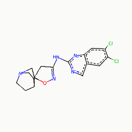 Clc1cc2cnc(NC3=NOC4(C3)CN3CCC4CC3)nc2cc1Cl